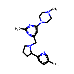 Cc1ccc(C2CCCN2Cc2cc(N3CCN(C)CC3)nc(C)n2)nc1